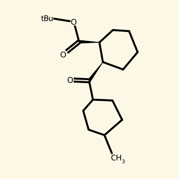 CC1CCC(C(=O)[C@@H]2CCCC[C@@H]2C(=O)OC(C)(C)C)CC1